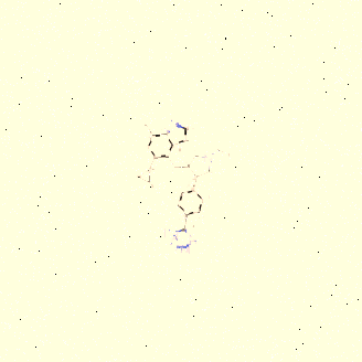 CCN1CC(Cc2c(C3CC3)cc(C)c3[nH]ccc23)C(c2ccc(-c3nnn[nH]3)cc2)C1